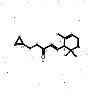 CC1=CCCC(C)(C)C1/C=C/C(=O)CCC1CC1